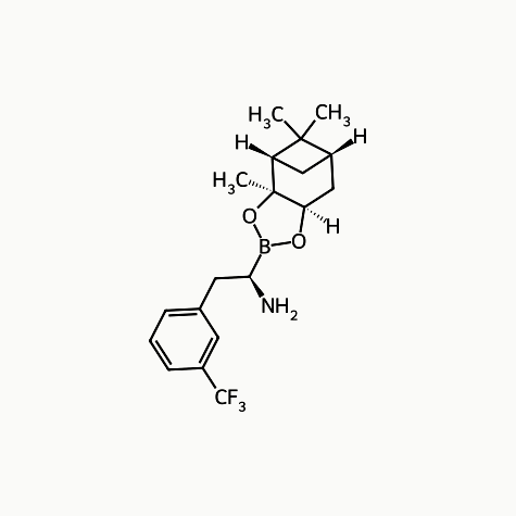 CC1(C)[C@@H]2C[C@H]3OB([C@@H](N)Cc4cccc(C(F)(F)F)c4)O[C@@]3(C)[C@H]1C2